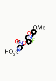 COc1ccc(CN2C(=O)CCc3c(OCC4(N=C=O)CCN(C(=O)O)CC4)ccc(F)c32)cc1